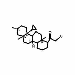 C[C@H]1CC[C@]2(C3CC3)C3CC[C@]4(C)C(C(=O)CBr)CCCC4[C@@H]3CC[C@]2(C)C1